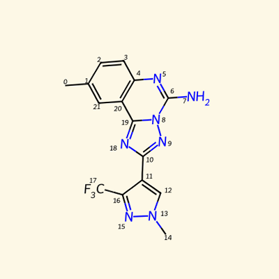 Cc1ccc2nc(N)n3nc(-c4cn(C)nc4C(F)(F)F)nc3c2c1